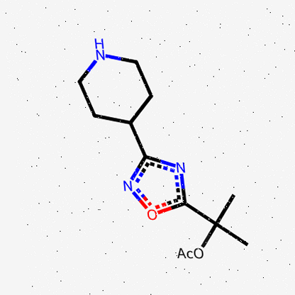 CC(=O)OC(C)(C)c1nc(C2CCNCC2)no1